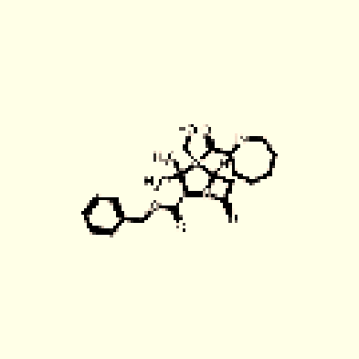 CC1(C)[C@H](C(=O)OCc2ccccc2)N2C(=O)C[C@H]2[S@@]1(CO)C(=O)C1CCCCCN1